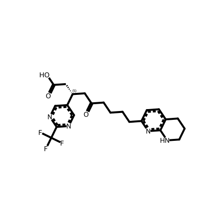 O=C(O)C[C@H](CC(=O)CCCCc1ccc2c(n1)NCCC2)c1cnc(C(F)(F)F)nc1